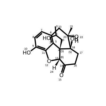 CC(O)C[C@]12c3c4ccc(O)c3O[C@H]1C(=O)CC[C@@]2(O)[C@@](C)(O)C4